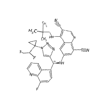 CC(C)(C)CNc1c(C#N)cnc2c(C#N)cc(N[C@H](c3cn(C4(C(F)F)CC4)nn3)c3ccc(F)c4ncccc34)cc12